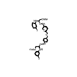 COCC(Nc1cccc(F)c1)OBc1ccc(COCc2ccc(BOC(COC)Nc3cccc(F)c3)cc2)cc1